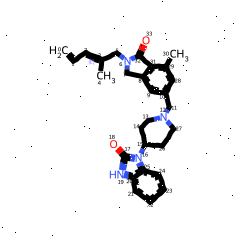 C=C/C=C(\C)CN1Cc2cc(CN3CCC(n4c(=O)[nH]c5ccccc54)CC3)cc(C)c2C1=O